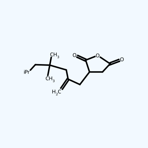 C=C(CC1CC(=O)OC1=O)CC(C)(C)CC(C)C